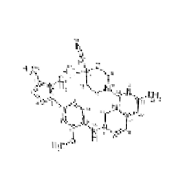 COc1cc(-c2ncc(C)n2C)ccc1NN1C=Cc2cc(C)nc(N3CCC(C)(C#N)CC3)c2C1